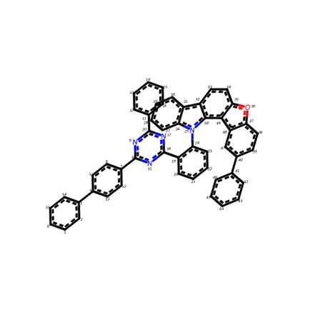 c1ccc(-c2ccc(-c3nc(-c4ccccc4)nc(-c4ccccc4-n4c5ccccc5c5ccc6oc7ccc(-c8ccccc8)cc7c6c54)n3)cc2)cc1